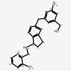 OCc1cc(Cc2ccc3c(c2)CCC3NCc2ncccc2C(F)(F)F)cc(C(F)(F)F)c1